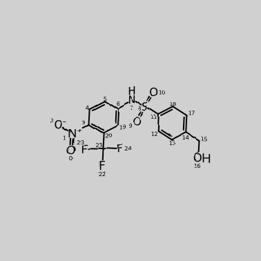 O=[N+]([O-])c1ccc(NS(=O)(=O)c2ccc(CO)cc2)cc1C(F)(F)F